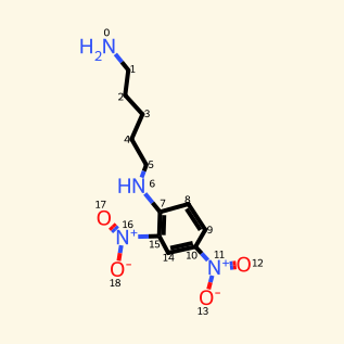 NCCCCCNc1ccc([N+](=O)[O-])cc1[N+](=O)[O-]